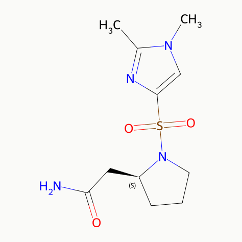 Cc1nc(S(=O)(=O)N2CCC[C@H]2CC(N)=O)cn1C